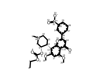 CCOC(=O)O[C@@H]1CN(C)CC[C@@H]1c1c(OC)cc(OC)c2c(=O)cc(-c3cccc([N+](=O)[O-])c3)oc12